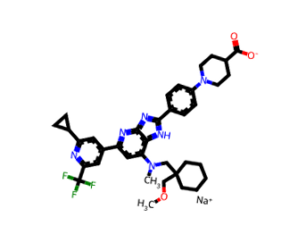 COCC1(CN(C)c2cc(-c3cc(C4CC4)nc(C(F)(F)F)c3)nc3nc(-c4ccc(N5CCC(C(=O)[O-])CC5)cc4)[nH]c23)CCCCC1.[Na+]